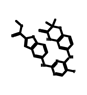 COC(=O)c1cc2cc(Nc3ncc(F)c(Nc4ccc5c(c4)NC(=O)C(C)(C)O5)n3)ccc2o1